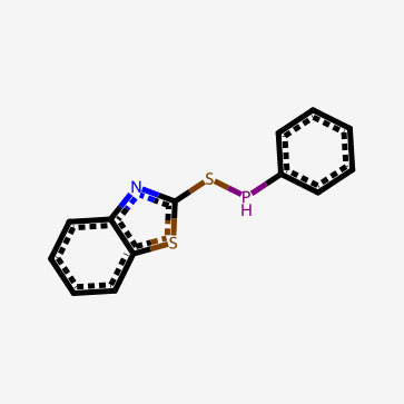 c1ccc(PSc2nc3ccccc3s2)cc1